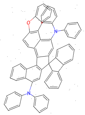 c1ccc(N(c2ccccc2)c2cc3c(c4ccccc24)-c2c(cc(N(c4ccccc4)c4ccccc4)c4c2ccc2oc5ccccc5c24)C32c3ccccc3-c3ccccc32)cc1